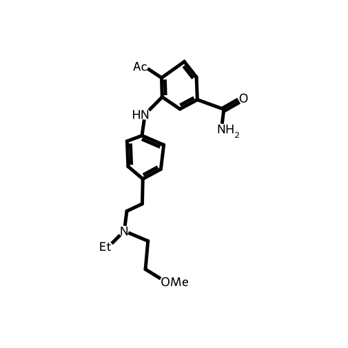 CCN(CCOC)CCc1ccc(Nc2cc(C(N)=O)ccc2C(C)=O)cc1